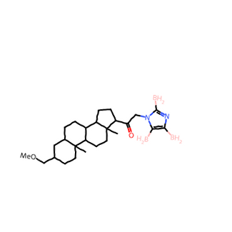 Bc1nc(B)n(CC(=O)C2CCC3C4CCC5CC(COC)CCC5(C)C4CCC23C)c1B